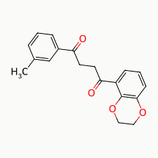 Cc1cccc(C(=O)CCC(=O)c2cccc3c2OCCO3)c1